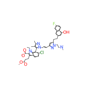 CCn1c(C(=O)OC)c(CCC(=O)OC)c2ccc(Cl)c(-c3c(C)c(C)nn3CC=Cc3cc(CCc4cc(O)c5ccc(F)cc5c4)n(CCN(C)C)n3)c21